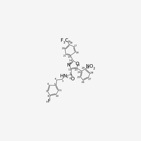 O=C(NCCc1ccc(F)cc1)c1nc(-c2ccc(C(F)(F)F)cc2)oc1-c1ccccc1[N+](=O)[O-]